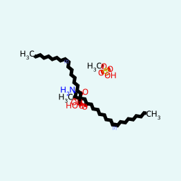 CCCCCCCC/C=C\CCCCCCCC(=O)CC(C(=O)O)(C(=O)CCCCCCC/C=C\CCCCCCCC)C(C)(O)CN.COS(=O)(=O)O